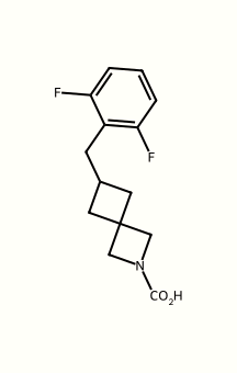 O=C(O)N1CC2(CC(Cc3c(F)cccc3F)C2)C1